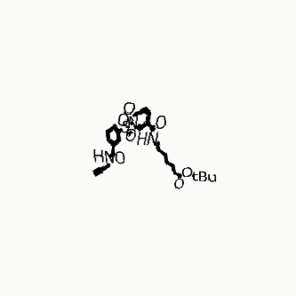 C#CCNC(=O)c1cccc(S(=O)(=O)n2cc(C(=O)NCCCCCCC(=O)OC(C)(C)C)ccc2=O)c1